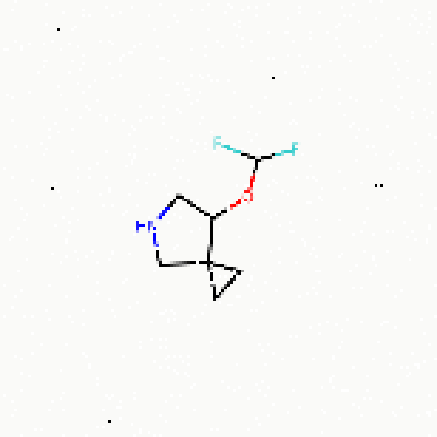 FC(F)OC1CNCC12CC2